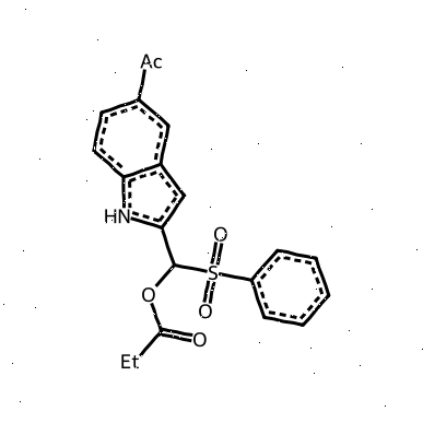 CCC(=O)OC(c1cc2cc(C(C)=O)ccc2[nH]1)S(=O)(=O)c1ccccc1